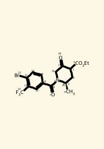 CCOC(=O)C1C[C@@H](C)N(C(=O)c2ccc(Br)c(C(F)(F)F)c2)CC1=O